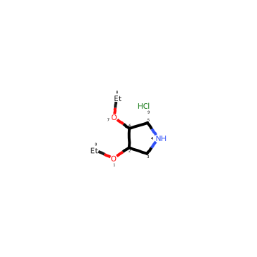 CCOC1CNCC1OCC.Cl